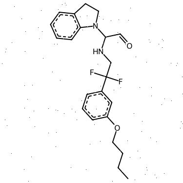 CCCCOc1cccc(C(F)(F)CNC(C=O)N2CCc3ccccc32)c1